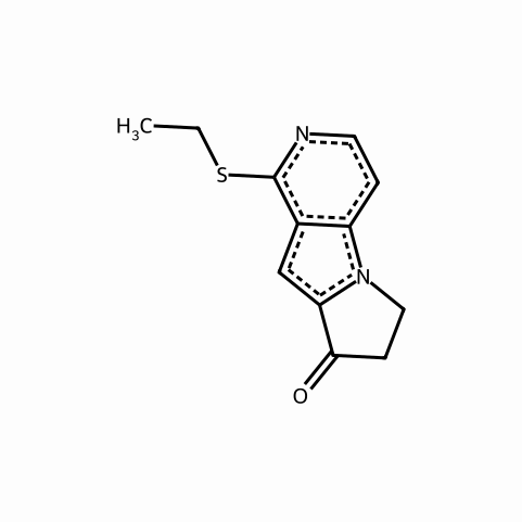 CCSc1nccc2c1cc1n2CCC1=O